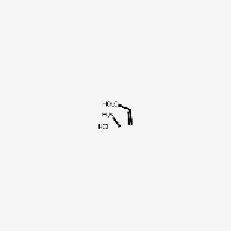 C=CC(=O)O.CN.Cl